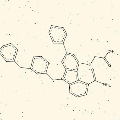 NC(=O)c1cccc2c1c1c(OCC(=O)O)cc(-c3ccccc3)cc1n2Cc1cccc(Cc2ccccc2)c1